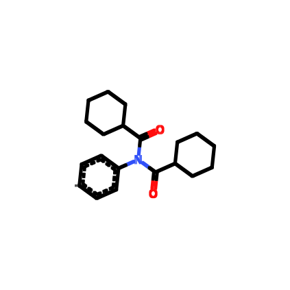 O=C(C1CCCCC1)N(C(=O)C1CCCCC1)c1cc[c]cc1